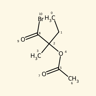 CCC(C)(OC(C)=O)C(=O)Br